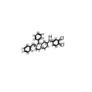 C[C@@H](CN1CCC(Nc2ccc(Cl)c(Cl)c2)CC1)N(Cc1ccccc1)Cc1ccccc1